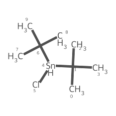 C[C](C)(C)[SnH]([Cl])[C](C)(C)C